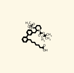 CC(C)(C)OC(=O)N1CCCC(NS(C)(=O)=O)C1Cc1cccc(-c2ccccc2CCCCCCC(=O)O)c1